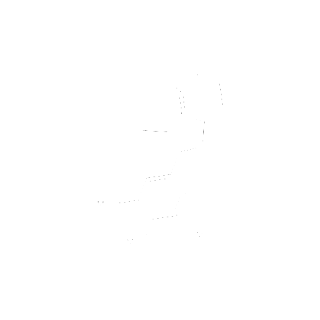 COc1cc(-c2oc3cccnc3c2Cl)cc(OC)c1OC